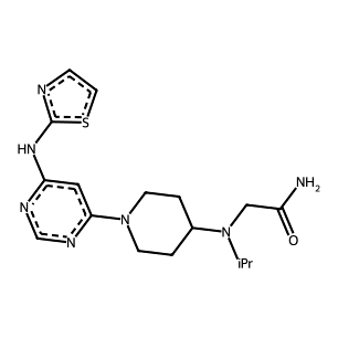 CC(C)N(CC(N)=O)C1CCN(c2cc(Nc3nccs3)ncn2)CC1